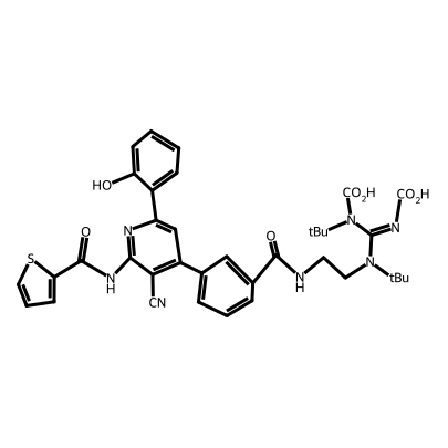 CC(C)(C)N(CCNC(=O)c1cccc(-c2cc(-c3ccccc3O)nc(NC(=O)c3cccs3)c2C#N)c1)C(=NC(=O)O)N(C(=O)O)C(C)(C)C